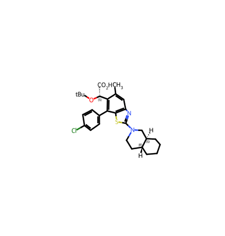 Cc1cc2nc(N3CC[C@H]4CCCC[C@@H]4C3)sc2c(-c2ccc(Cl)cc2)c1[C@H](OC(C)(C)C)C(=O)O